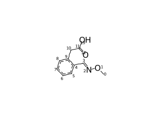 CO/N=C/c1ccccc1CC(=O)O